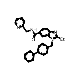 CCc1nc2ccc(C(=O)NCc3ccccn3)cc2n1Cc1ccc(-c2ccccc2)cc1